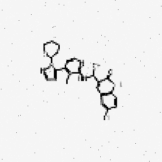 CC(Nc1nccc(-c2ccnn2C2CCCCO2)c1F)c1cc2cc(Cl)ccc2[nH]c1=O